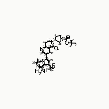 CC(C)(C)OC(=O)N1CCC(N2CCc3ncc(-c4cc(C(F)(F)F)c5c(N)ncnn45)cc3C2=O)C1